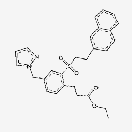 CCOC(=O)CCc1ccc(Cn2cccn2)cc1S(=O)(=O)CCc1ccc2ccccc2c1